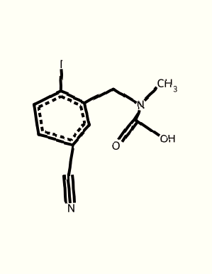 CN(Cc1cc(C#N)ccc1I)C(=O)O